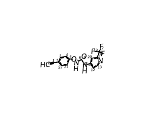 C#Cc1ccc(ONC(=O)Nc2ccnc(C(F)(F)F)c2)cc1